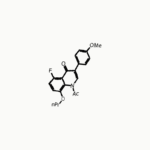 CCCOc1ccc(F)c2c(=O)c(-c3ccc(OC)cc3)cn(C(C)=O)c12